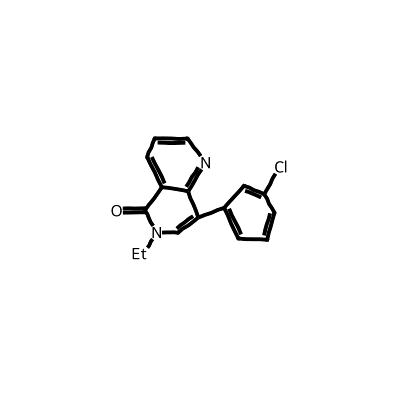 CCn1cc(-c2cccc(Cl)c2)c2ncccc2c1=O